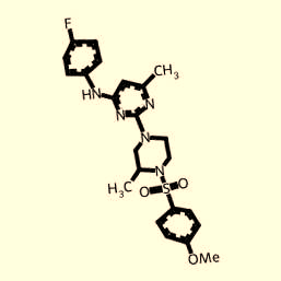 COc1ccc(S(=O)(=O)N2CCN(c3nc(C)cc(Nc4ccc(F)cc4)n3)CC2C)cc1